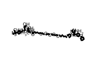 Cc1ncsc1-c1ccc(CNC(=O)[C@@H]2C[C@@H](O)CN2C(=O)CC(C)(C)CNC(=O)CCCCCOCCOCCOCCOCCOCCCCCCN2CCC(n3nc(-c4ccc(Oc5ccccc5)cc4)c4c(N)ncnc43)CC2)cc1